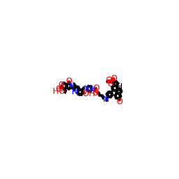 CC[C@@]1(O)C(=O)OCc2c1cc1n(c2=O)Cc2cc3c(CN4CCN(C(=O)OCCCCN(C)c5ccc([C@H]6CC7[C@@H](CC[C@]7(OC(C)=O)C(C)=O)[C@@H]7CCC8=CC(=O)CCC8=C76)cc5)CC4)c(O)ccc3nc2-1